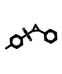 Cc1ccc(S(=O)(=O)N2CC2c2ccccc2)cc1